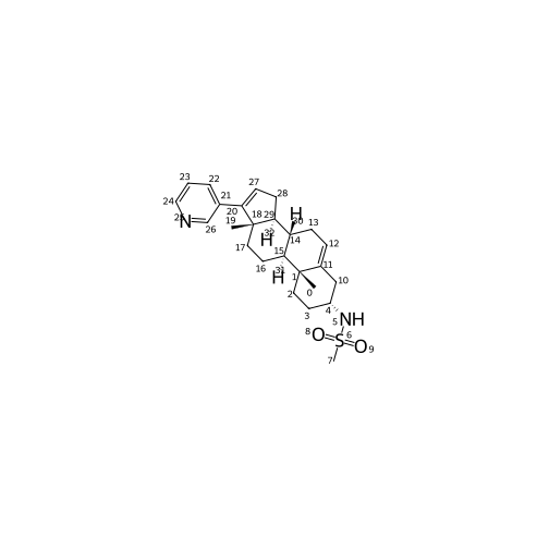 C[C@]12CC[C@@H](NS(C)(=O)=O)CC1=CC[C@@H]1[C@@H]2CC[C@]2(C)C(c3cccnc3)=CC[C@@H]12